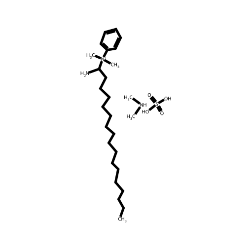 CCCCCCCCCCCCCCCCC(N)[N+](C)(C)c1ccccc1.CNC.O=S(=O)(O)O